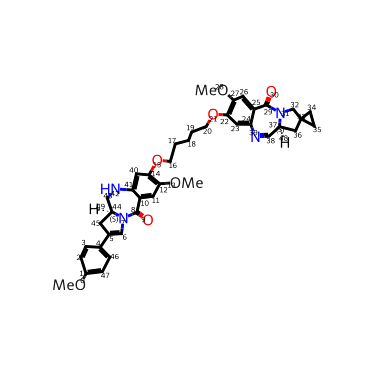 COc1ccc(C2=CN3C(=O)c4cc(OC)c(OCCCCCOc5cc6c(cc5OC)C(=O)N5CC7(CC7)C[C@H]5C=N6)cc4NC[C@@H]3C2)cc1